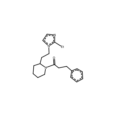 CCc1nccn1CCC1CCCCN1C(=O)CCc1ccccc1